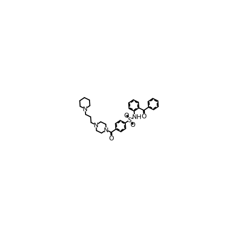 O=C(c1ccccc1)c1ccccc1NS(=O)(=O)c1ccc(C(=O)N2CCN(CCCN3CCCCC3)CC2)cc1